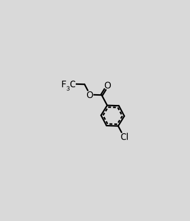 O=C(OCC(F)(F)F)c1ccc(Cl)cc1